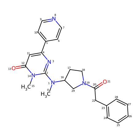 CN(c1nc(-c2ccncc2)cc(=O)n1C)C1CCN(C(=O)Cc2ccccc2)C1